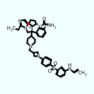 CC=CNc1cccc(S(=O)(=O)c2ccc(N3CC(CN4CCC(C(Cn5ccnc5CC)(c5cccc(F)c5)[C@H]5CCC[C@@H]5OC(N)=O)CC4)C3)cc2)c1